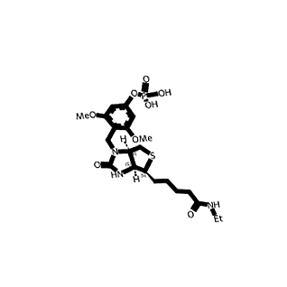 CCNC(=O)CCCC[C@@H]1SC[C@H]2[C@@H]1NC(=O)N2Cc1c(OC)cc(OP(=O)(O)O)cc1OC